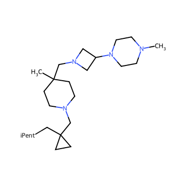 CCCC(C)CC1(CN2CCC(C)(CN3CC(N4CCN(C)CC4)C3)CC2)CC1